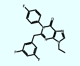 CCn1cnc2c(=O)n(-c3ccc(F)cc3)c(Cc3cc(F)cc(F)c3)nc21